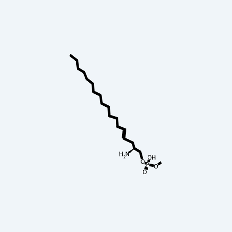 CCCCCCCCCCCCC/C=C/C[C@H](N)COP(=O)(O)OC